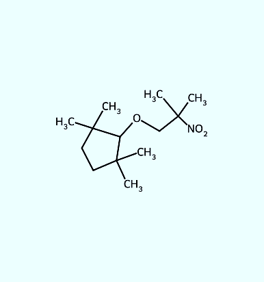 CC1(C)CCC(C)(C)C1OCC(C)(C)[N+](=O)[O-]